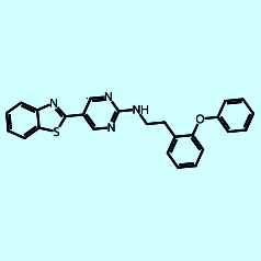 [c]1nc(NCCc2ccccc2Oc2ccccc2)ncc1-c1nc2ccccc2s1